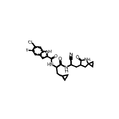 N#CC(CC1CC2(CC2)NC1=O)NC(=O)C(CC1CC1)NC(=O)c1cc2cc(F)c(Cl)cc2[nH]1